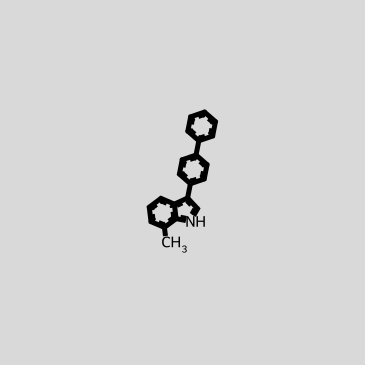 Cc1cccc2c(-c3ccc(-c4ccccc4)cc3)c[nH]c12